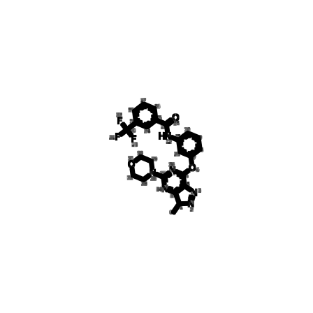 CC1N=Nc2c(Oc3cccc(NC(=O)c4cccc(C(F)(F)F)c4)c3)nc(N3CCOCC3)nc21